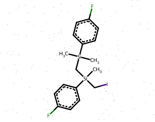 C[Si](C)(C[Si](C)(CI)c1ccc(F)cc1)c1ccc(F)cc1